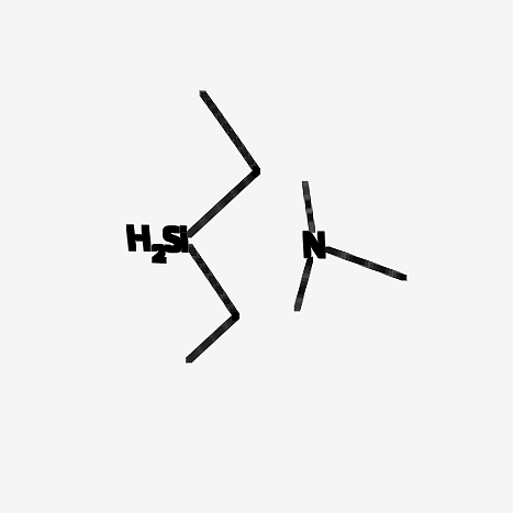 CC[SiH2]CC.CN(C)C